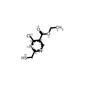 CCOC(=O)c1cnc(CS)nc1Cl